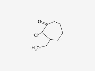 CCC1CCCCC(=O)C1Cl